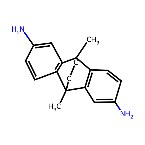 CC12CCC(C)(c3ccc(N)cc31)c1cc(N)ccc12